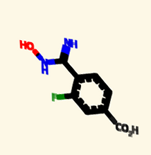 N=C(NO)c1ccc(C(=O)O)cc1F